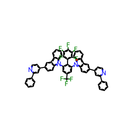 Fc1c(F)c(F)c(-c2c(-n3c4ccccc4c4cc(-c5ccnc(-c6ccccc6)c5)ccc43)cc(C(F)(F)F)cc2-n2c3ccccc3c3cc(-c4ccnc(-c5ccccc5)c4)ccc32)c(F)c1F